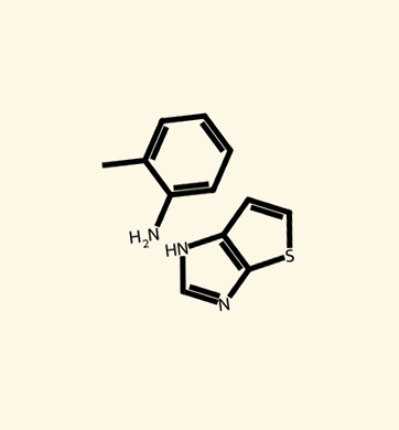 Cc1ccccc1N.c1nc2sccc2[nH]1